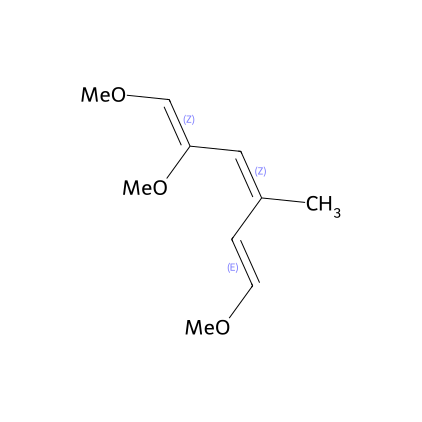 CO/C=C(/C=C(C)\C=C\OC)OC